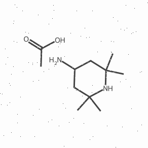 CC(=O)O.CC1(C)CC(N)CC(C)(C)N1